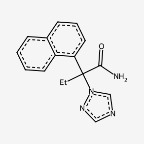 CCC(C(N)=O)(c1cccc2ccccc12)n1cncn1